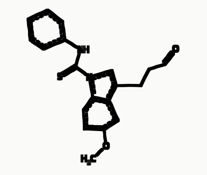 COc1ccc2c(c1)c(CCC=O)cn2C(=S)Nc1ccccc1